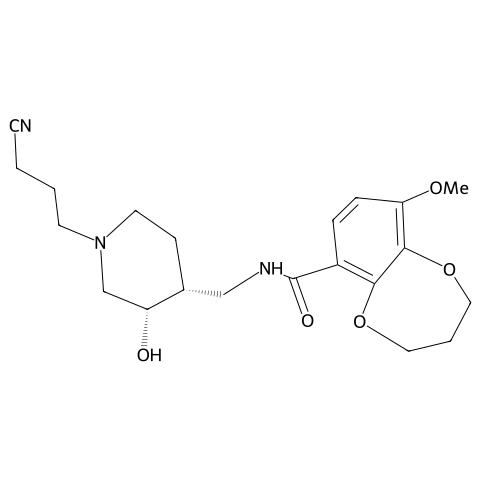 COc1ccc(C(=O)NC[C@H]2CCN(CCCC#N)C[C@H]2O)c2c1OCCCO2